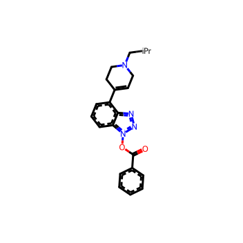 CC(C)CN1CC=C(c2cccc3c2nnn3OC(=O)c2ccccc2)CC1